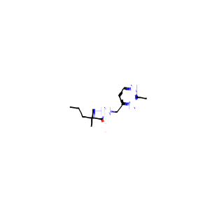 CCCC(C)(C)C(=O)NCc1ccnc(C)n1